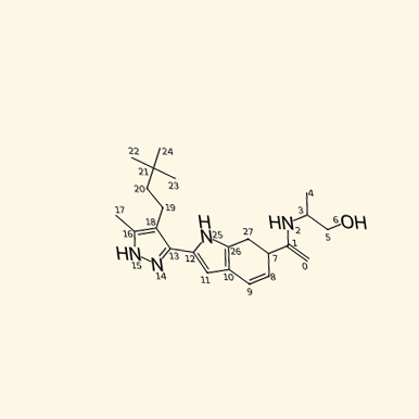 C=C(NC(C)CO)C1C=Cc2cc(-c3n[nH]c(C)c3CCC(C)(C)C)[nH]c2C1